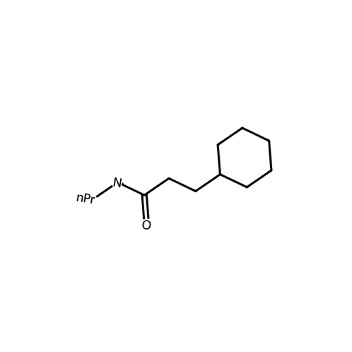 CCC[N]C(=O)CCC1CCCCC1